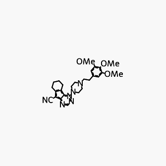 COc1cc(CCN2CCN(n3ncnc4c(C#N)c5c(c3-4)CCCC5)CC2)cc(OC)c1OC